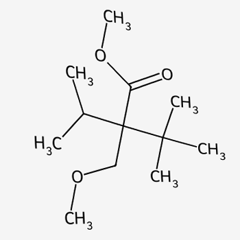 COCC(C(=O)OC)(C(C)C)C(C)(C)C